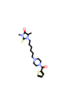 CC1C(=O)N(C)C(=S)N1CCCCCCN1CCN(C(=O)c2cccs2)CC1